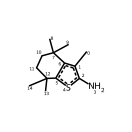 Cc1c(N)sc2c1C(C)(C)CCC2(C)C